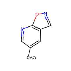 O=Cc1cnc2oncc2c1